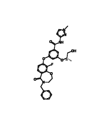 C[C@@H](CO)Oc1cc(Oc2ccc3c(c2F)OCCN(Cc2ccccc2)C3=O)cc(C(=O)Nc2ccn(C)n2)c1